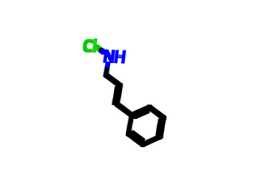 ClNC/C=C/c1ccccc1